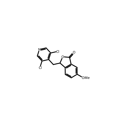 COc1ccc2c(c1)C(=O)OC2Cc1c(Cl)cncc1Cl